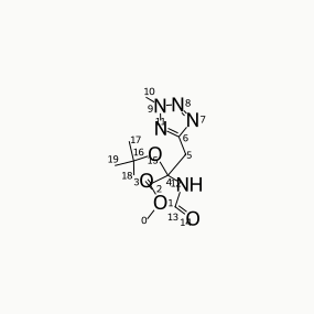 COC(=O)C(Cc1nnn(C)n1)(NC=O)OC(C)(C)C